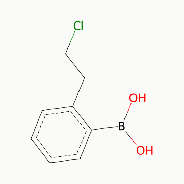 OB(O)c1ccccc1CCCl